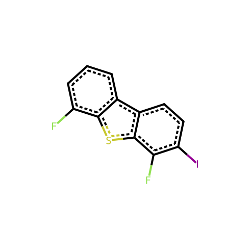 Fc1cccc2c1sc1c(F)c(I)ccc12